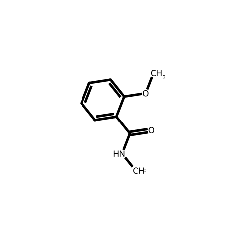 [CH]NC(=O)c1ccccc1OC